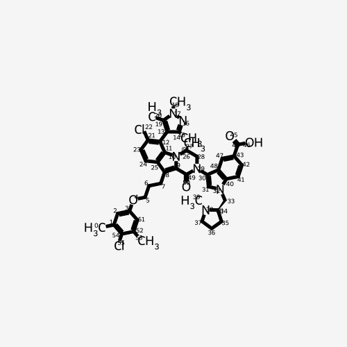 Cc1cc(OCCCc2c3n(c4c(-c5c(C)nn(C)c5C)c(Cl)ccc24)[C@H](C)CN(c2cn(C[C@H]4CCCN4C)c4ccc(C(=O)O)cc24)C3=O)cc(C)c1Cl